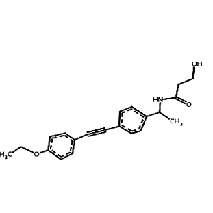 CCOc1ccc(C#Cc2ccc(C(C)NC(=O)CCO)cc2)cc1